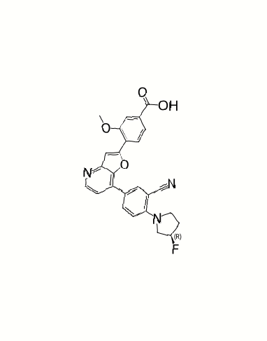 COc1cc(C(=O)O)ccc1-c1cc2nccc(-c3ccc(N4CC[C@@H](F)C4)c(C#N)c3)c2o1